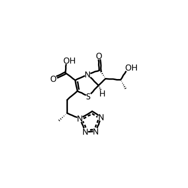 C[C@H](CC1=C(C(=O)O)N2C(=O)[C@H]([C@@H](C)O)[C@H]2S1)n1cnnn1